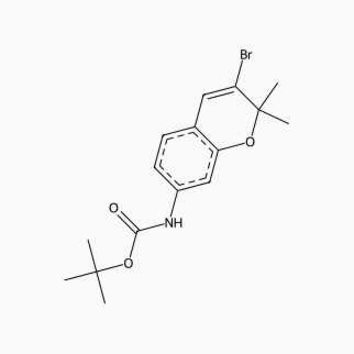 CC(C)(C)OC(=O)Nc1ccc2c(c1)OC(C)(C)C(Br)=C2